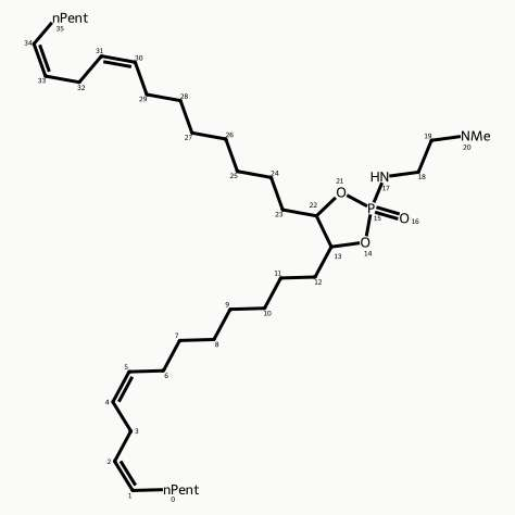 CCCCC/C=C\C/C=C\CCCCCCCC1OP(=O)(NCCNC)OC1CCCCCCC/C=C\C/C=C\CCCCC